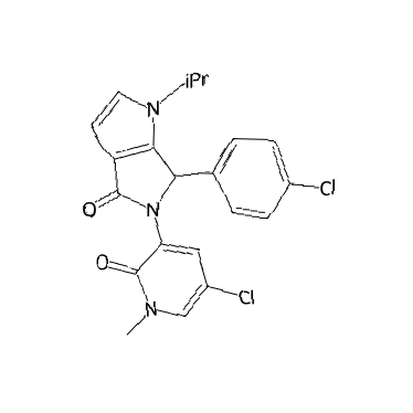 CC(C)n1ccc2c1C(c1ccc(Cl)cc1)N(c1cc(Cl)cn(C)c1=O)C2=O